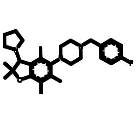 Cc1c(C)c(N2CCN(Cc3ccc(F)cc3)CC2)c(C)c2c1OC(C)(C)C2N1CCCC1